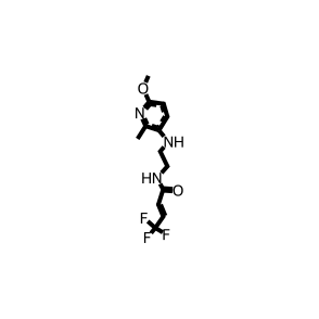 COc1ccc(NCCNC(=O)C=CC(F)(F)F)c(C)n1